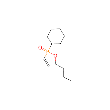 C=CP(=O)(OCCCC)C1CCCCC1